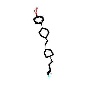 COc1ccc([C@H]2CC[C@H](CC[C@H]3CC[C@H](CC/C=C/F)CC3)CC2)cc1